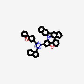 c1ccc2cc3c(cc2c1)c1cc2ccccc2cc1n3-c1cc(-c2nc(-c3ccc4c(c3)oc3ccccc34)nc(-c3cccc4ccccc34)n2)cc2oc3ccccc3c12